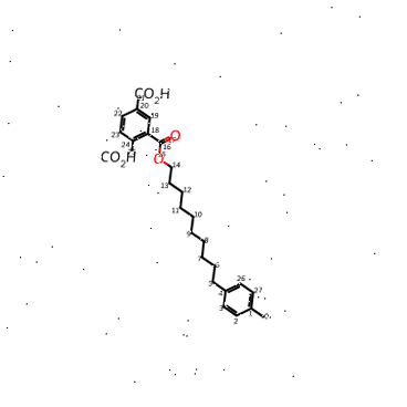 Cc1ccc(CCCCCCCCCCOC(=O)c2cc(C(=O)O)ccc2C(=O)O)cc1